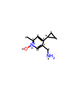 Cc1cc(C2CC2)c(CN)c[n+]1[O-]